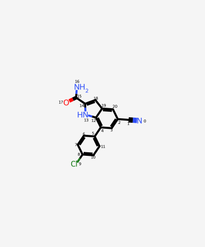 N#Cc1cc(-c2ccc(Cl)cc2)c2[nH]c(C(N)=O)cc2c1